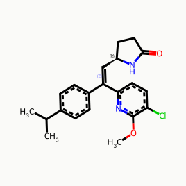 COc1nc(/C(=C\[C@H]2CCC(=O)N2)c2ccc(C(C)C)cc2)ccc1Cl